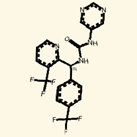 O=C(Nc1cncnc1)N[C@@H](c1ccc(C(F)(F)F)cc1)c1ncccc1C(F)(F)F